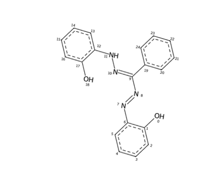 Oc1ccccc1N=NC(=NNc1ccccc1O)c1ccccc1